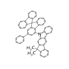 CC1(C)c2ccccc2-c2cc3c4ccccc4n(-c4cc(-c5ccccc5)cc5c4-c4ccccc4C54c5ccccc5-c5ccccc54)c3cc21